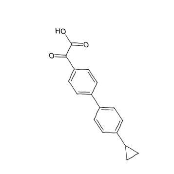 O=C(O)C(=O)c1ccc(-c2ccc(C3CC3)cc2)cc1